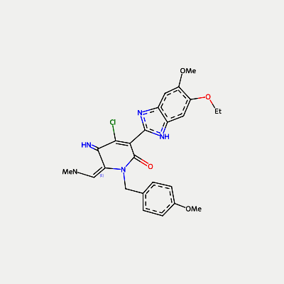 CCOc1cc2[nH]c(C3=C(Cl)C(=N)/C(=C\NC)N(Cc4ccc(OC)cc4)C3=O)nc2cc1OC